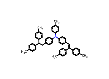 Cc1ccc(C(=Cc2ccc(N(c3ccc(C)cc3)c3ccc(CC(c4ccc(C)cc4)c4ccc(C)cc4)cc3)cc2)c2ccc(C)cc2)cc1